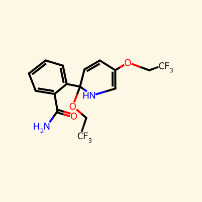 NC(=O)c1ccccc1C1(OCC(F)(F)F)C=CC(OCC(F)(F)F)=CN1